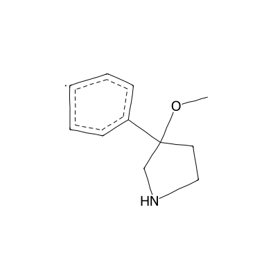 COC1(c2cc[c]cc2)CCNC1